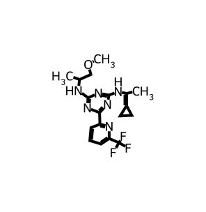 COCC(C)Nc1nc(NC(C)=C2CC2)nc(-c2cccc(C(F)(F)F)n2)n1